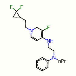 CCCN(CCNC1=C(F)CN(CCC2CC2(F)F)C=C1)c1ccccc1